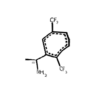 C[C@H](N)c1cc(C(F)(F)F)ccc1C(F)(F)F